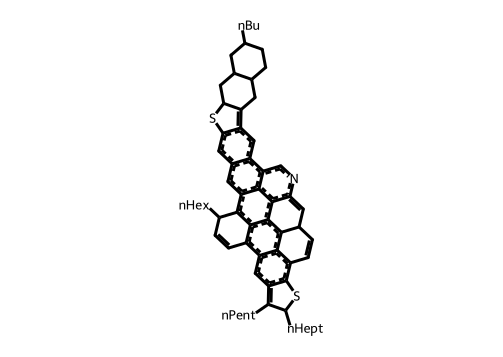 CCCCCCCC1Sc2c3c4c5c6c7c(c4cc2=C1CCCCC)C=CC(CCCCCC)c7c1cc2cc4c(cc2c2cnc(c6c12)=CC5C=C3)=C1CC2CCC(CCCC)CC2CC1S4